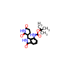 CC(C)(C)OC(=O)Nc1cccc2c1C(C1CCC(=O)NC1=O)NC2=O